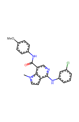 COc1ccc(NC(=O)c2cnc(Nc3cccc(Cl)c3)c3ccn(C)c23)cc1